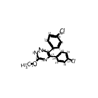 COc1nnc(-c2ccc(Cl)cc2)c(-c2ccc(Cl)cc2)n1